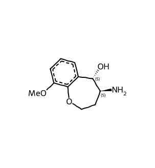 COc1cccc2c1OCC[C@H](N)[C@H]2O